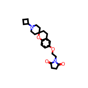 O=C1CCC(=O)N1CCOc1ccc2c(c1)CCC1(CCN(C3CCC3)CC1)O2